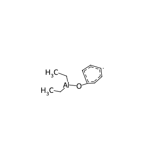 C[CH2][Al]([CH2]C)[O]c1cc[c]cc1